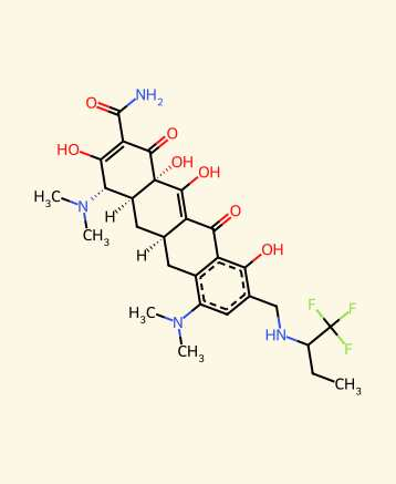 CCC(NCc1cc(N(C)C)c2c(c1O)C(=O)C1=C(O)[C@]3(O)C(=O)C(C(N)=O)=C(O)[C@@H](N(C)C)[C@@H]3C[C@@H]1C2)C(F)(F)F